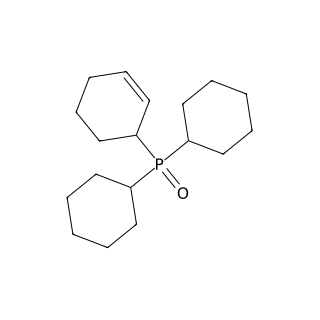 O=P(C1C=CCCC1)(C1CCCCC1)C1CCCCC1